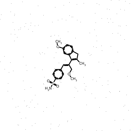 COCC(=Cc1ccc(S(N)(=O)=O)cc1)C1=C(C)Cc2ccc(OC)cc21